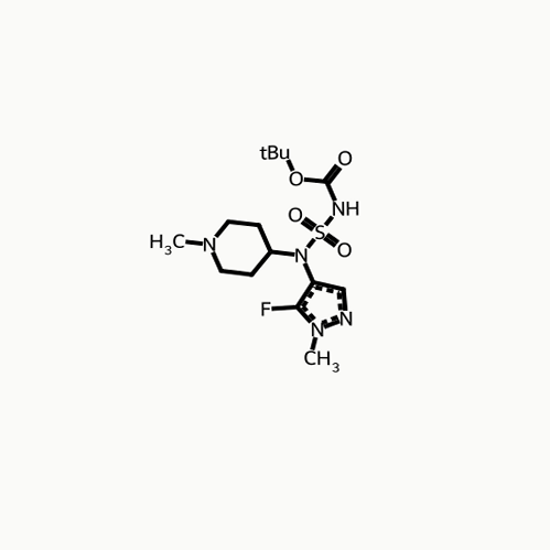 CN1CCC(N(c2cnn(C)c2F)S(=O)(=O)NC(=O)OC(C)(C)C)CC1